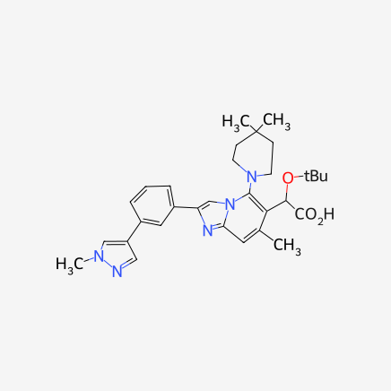 Cc1cc2nc(-c3cccc(-c4cnn(C)c4)c3)cn2c(N2CCC(C)(C)CC2)c1C(OC(C)(C)C)C(=O)O